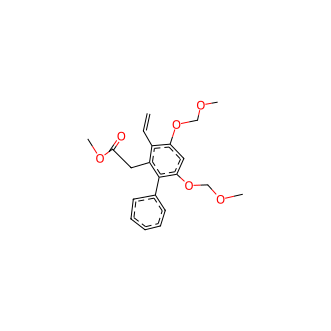 C=Cc1c(OCOC)cc(OCOC)c(-c2ccccc2)c1CC(=O)OC